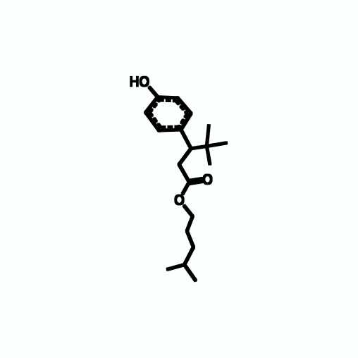 CC(C)CCCOC(=O)CC(c1ccc(O)cc1)C(C)(C)C